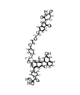 C[C@H](CN1CCC(OCCOCCOc2ccc3c(c2)CN(C2CCC(=O)NC2=O)C3=O)CC1)Oc1nc(N2CCN(C(=O)C(O)O)CC2)c2cc(Cl)c(-c3cc(O)cc4ccccc34)c(F)c2n1